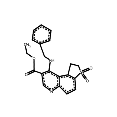 CCOC(=O)c1cnc2ccc3c(c2c1NCc1ccccc1)CCS3(=O)=O